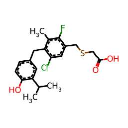 Cc1c(F)c(CSCC(=O)O)cc(Cl)c1Cc1ccc(O)c(C(C)C)c1